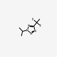 CC(C)n1nnc(C(C)(F)F)n1